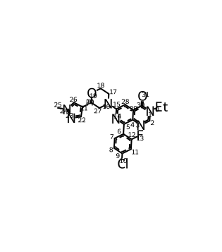 CCn1cnc2c(-c3ccc(Cl)cc3F)nc(N3CCO[C@H](c4cnn(C)c4)C3)cc2c1=O